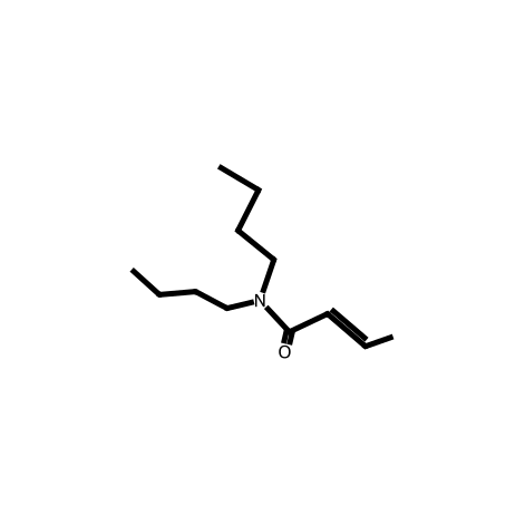 CC=CC(=O)N(CCCC)CCCC